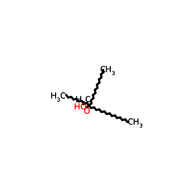 CCCCCCCCCCCCCCCCC(CCCCCCCCCC)(CC(C)CCCCCCCCCCCC)C(=O)O